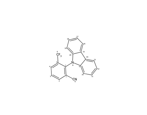 N#Cc1cccc(C(F)(F)F)c1-n1c2ccccc2c2ccccc21